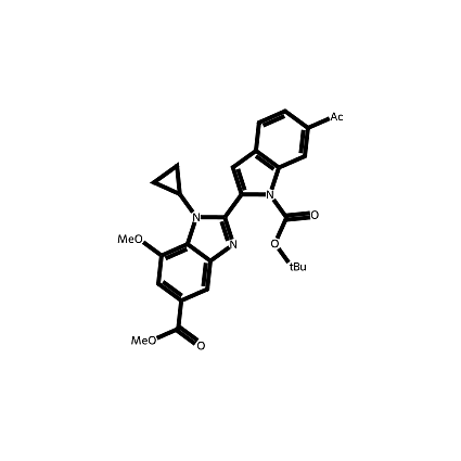 COC(=O)c1cc(OC)c2c(c1)nc(-c1cc3ccc(C(C)=O)cc3n1C(=O)OC(C)(C)C)n2C1CC1